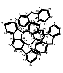 c1cc(N2c3ccccc3Cc3ccccc32)nc(-n2c3ccccc3c3ccc4c5ccccc5n(-c5cccc(N6c7ccccc7Cc7ccccc76)n5)c4c32)c1